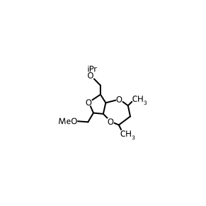 COCC1OC(COC(C)C)C2OC(C)CC(C)OC12